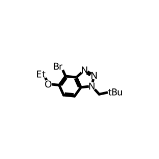 CCOc1ccc2c(nnn2CC(C)(C)C)c1Br